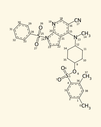 Cc1ccc(S(=O)(=O)OC2CCC(N(C)c3c(C#N)cnc4c3ccn4S(=O)(=O)c3ccccc3)CC2)c(C)c1